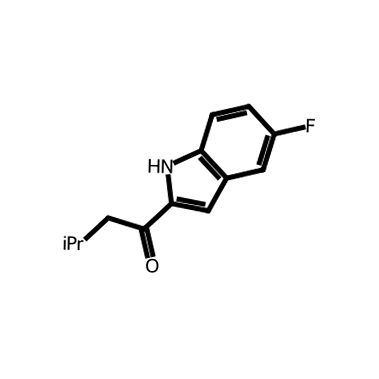 CC(C)CC(=O)c1cc2cc(F)ccc2[nH]1